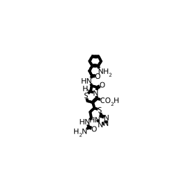 NC(=O)NCCC(Sc1nnn[nH]1)C1=C(C(=O)O)N2C(=O)C(NC(=O)CC3=C(N)CC=CC3)[C@@H]2SC1